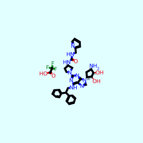 N[C@H]1C[C@@H](n2cnc3c(NCC(c4ccccc4)c4ccccc4)nc(N4CC[C@@H](NC(=O)NCc5ccccn5)C4)nc32)[C@H](O)[C@@H]1O.O=C(O)C(F)(F)F